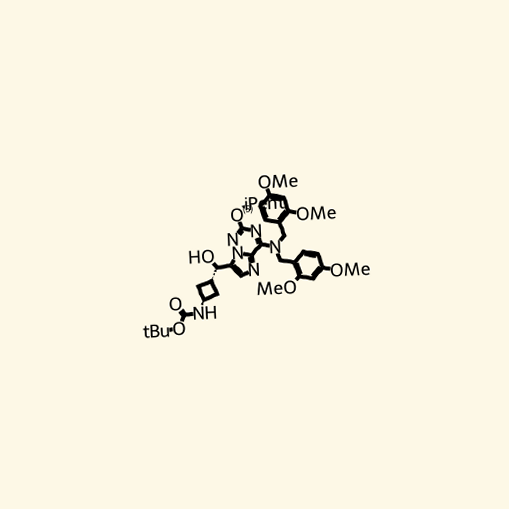 CCC[C@H](C)Oc1nc(N(Cc2ccc(OC)cc2OC)Cc2ccc(OC)cc2OC)c2ncc(C(O)[C@H]3C[C@@H](NC(=O)OC(C)(C)C)C3)n2n1